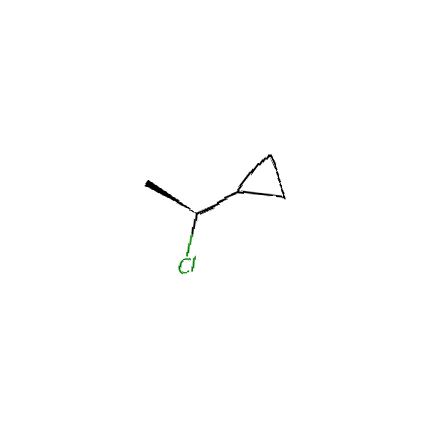 C[C@H](Cl)C1CC1